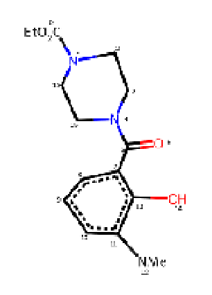 CCOC(=O)N1CCN(C(=O)c2cccc(NC)c2O)CC1